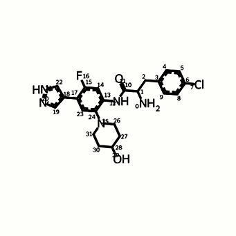 NC(Cc1ccc(Cl)cc1)C(=O)Nc1cc(F)c(-c2cn[nH]c2)cc1N1CCC(O)CC1